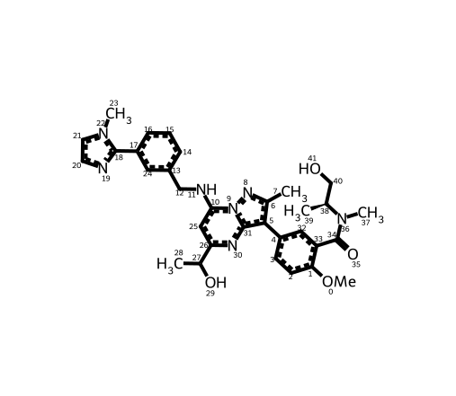 COc1ccc(-c2c(C)nn3c(NCc4cccc(-c5nccn5C)c4)cc(C(C)O)nc23)cc1C(=O)N(C)[C@@H](C)CO